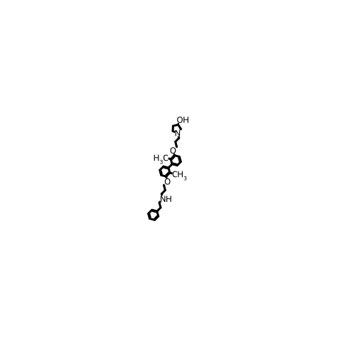 Cc1c(OCCCNCCc2ccccc2)cccc1-c1cccc(OCCCN2CC[C@@H](O)C2)c1C